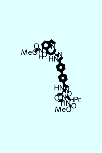 COC(=O)N[C@H]1CCc2ccn3c2C1C(=O)C[C@H](c1ncc(-c2ccc(-c4ccc(-c5cnc([C@@H]6COCCN6C(=O)[C@@H](NC(=O)OC)C(C)C)[nH]5)cc4)cc2)[nH]1)C3